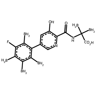 Bc1c(B)c(F)c(B)c(-c2cnc(C(=O)NC(B)(B)C(=O)O)c(O)c2)c1B